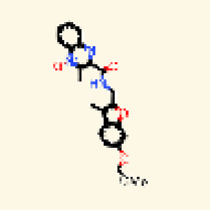 COCOc1ccc2c(C)c(CNC(=O)c3nc4ccccc4[n+]([O-])c3C)oc2c1